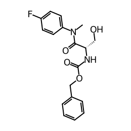 CN(C(=O)[C@H](CO)NC(=O)OCc1ccccc1)c1ccc(F)cc1